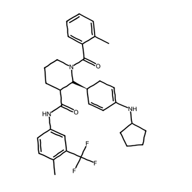 Cc1ccccc1C(=O)N1CCCC(C(=O)Nc2ccc(C)c(C(F)(F)F)c2)C1[C@@H]1C=CC(NC2CCCC2)=CC1